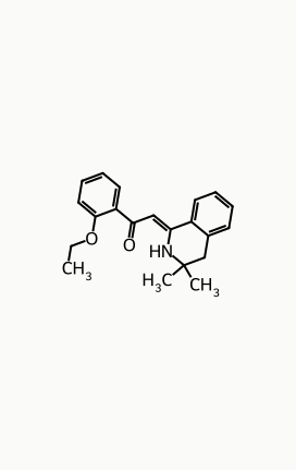 CCOc1ccccc1C(=O)C=C1NC(C)(C)Cc2ccccc21